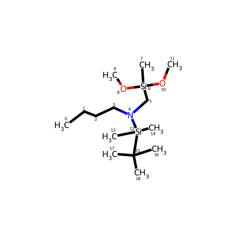 CCCCN(C[Si](C)(OC)OC)[Si](C)(C)C(C)(C)C